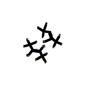 FC(F)(F)/C(Cl)=C(\Cl)C(F)(F)F.FC(F)(F)/C=C(\Cl)C(F)(F)F